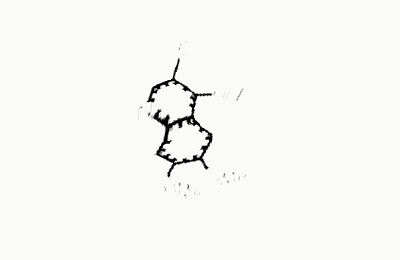 COc1cc2ncc(Cl)c(O)c2cc1OC